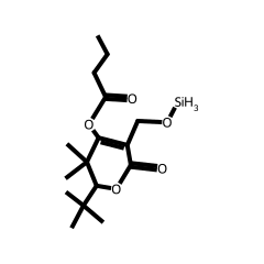 CCCC(=O)OC1=C(CO[SiH3])C(=O)OC(C(C)(C)C)C1(C)C